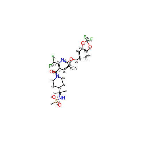 CC(C)(NS(C)(=O)=O)C1CCN(C(=O)c2cc(C#N)c(OCc3ccc4c(c3)OC(F)(F)O4)nc2C(F)F)CC1